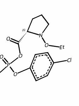 CCON1CCC[C@H]1C(=O)OP(=O)(Cl)Oc1ccc(Cl)cc1